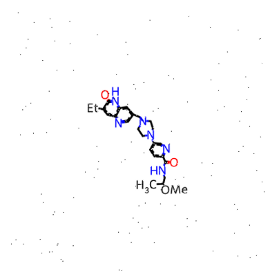 CCc1cc2ncc(CN3CCN(c4ccc(C(=O)NC[C@@H](C)OC)nc4)CC3)cc2[nH]c1=O